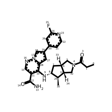 CCC(=O)N1C[C@H]2C[C@@H](Nc3c(C(N)=O)cnn4cc(-c5ccnc(F)c5)cc34)[C@H](C)[C@H]2C1